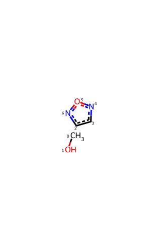 CO.c1cnon1